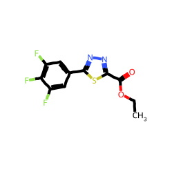 CCOC(=O)c1nnc(-c2cc(F)c(F)c(F)c2)s1